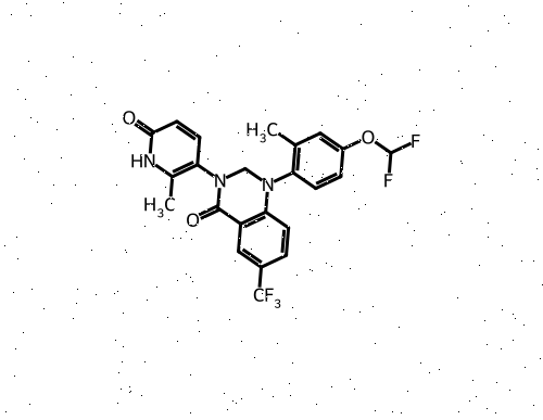 Cc1cc(OC(F)F)ccc1N1CN(c2ccc(=O)[nH]c2C)C(=O)c2cc(C(F)(F)F)ccc21